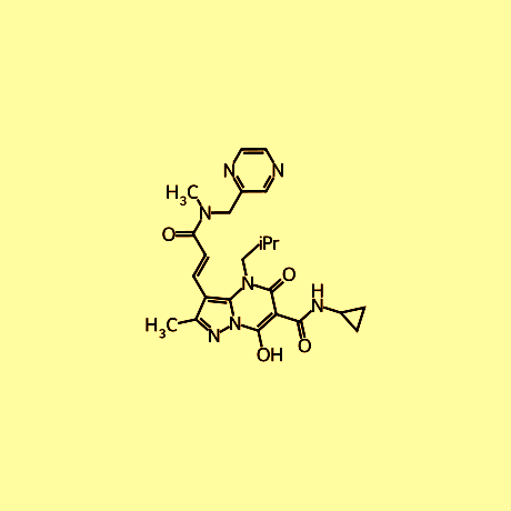 Cc1nn2c(O)c(C(=O)NC3CC3)c(=O)n(CC(C)C)c2c1C=CC(=O)N(C)Cc1cnccn1